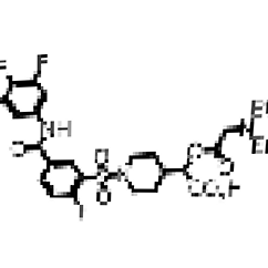 CCN(CC)CC(=O)OC(C(=O)O)C1CCN(S(=O)(=O)c2cc(C(=O)Nc3cc(F)c(F)c(F)c3)ccc2F)CC1